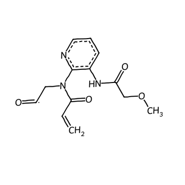 C=CC(=O)N(C[C]=O)c1ncccc1NC(=O)COC